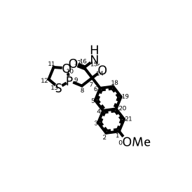 COc1ccc2cc(C3(CP4OCCS4)ONC3=O)ccc2c1